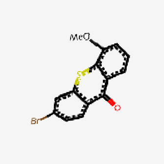 COc1cccc2c(=O)c3ccc(Br)cc3sc12